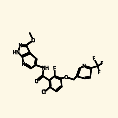 COc1n[nH]c2ncc(NC(=O)c3c(Cl)ccc(OCc4ccc(C(F)(F)F)nc4)c3F)cc12